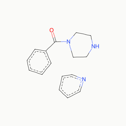 O=C(c1ccccc1)N1CCNCC1.c1ccncc1